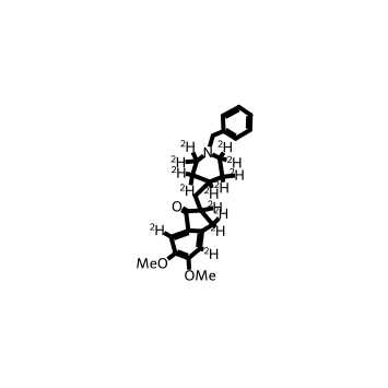 [2H]c1c(OC)c(OC)c([2H])c2c1C(=O)C([2H])(CC1([2H])C([2H])([2H])C([2H])([2H])N(Cc3ccccc3)C([2H])([2H])C1([2H])[2H])C2([2H])[2H]